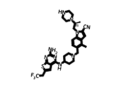 Cc1c(CN2CCC(Nc3nc(N)nc4sc(CC(F)(F)F)cc34)CC2)ccc2c1cc(C#N)n2C[C@H](C)N1CCNCC1